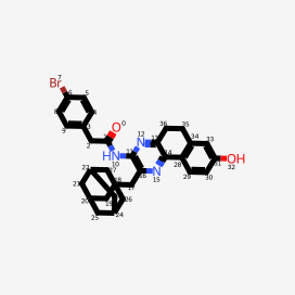 O=C(Cc1ccc(Br)cc1)Nc1nc2c(nc1CC13CC4CC(CC(C4)C1)C3)-c1ccc(O)cc1CC2